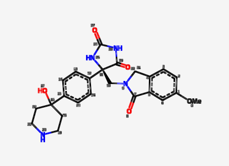 COc1ccc2c(c1)C(=O)N(C[C@@]1(c3ccc(C4(O)CCNCC4)cc3)NC(=O)NC1=O)C2